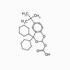 CC(C)(C)c1ccc2c(c1)C(C1CCCCC1)(C1CCCCC1)OC(OC(=O)O)O2